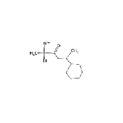 CCCC(C)(CC)C(=O)CC(C)C1CCCCC1